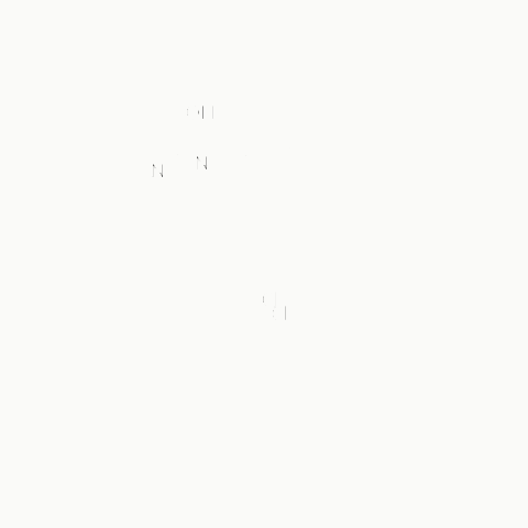 CCCCCCCCCCCC[N+](C)(C)C(C(C)O)[N+](C)(C)CCCCCCCCCCCC.[Cl-].[Cl-]